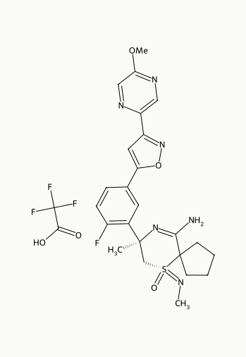 CN=[S@]1(=O)C[C@@](C)(c2cc(-c3cc(-c4cnc(OC)cn4)no3)ccc2F)N=C(N)C12CCCC2.O=C(O)C(F)(F)F